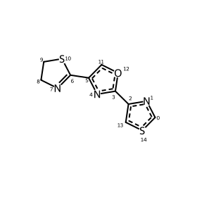 c1nc(-c2nc(C3=NCCS3)co2)cs1